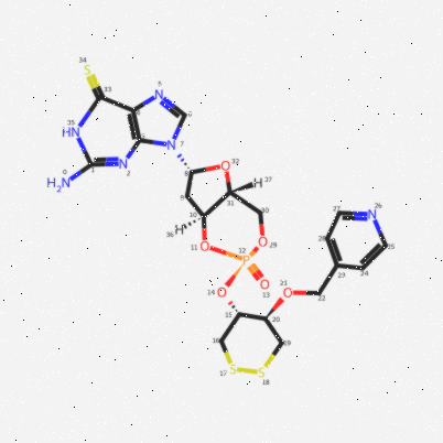 Nc1nc2c(ncn2[C@H]2C[C@@H]3O[P@](=O)(O[C@H]4CSSC[C@@H]4OCc4ccncc4)OC[C@H]3O2)c(=S)[nH]1